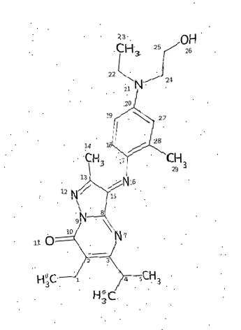 CCc1c(C(C)C)nc2n(c1=O)N=C(C)C2=Nc1ccc(N(CC)CCO)cc1C